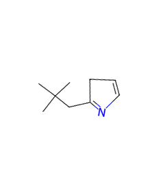 CC(C)(C)CC1=NC=CC1